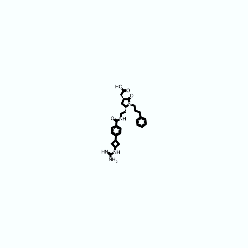 N=C(N)NC1CC(c2ccc(C(=O)NCC[C@@H]3C[C@@H](CC(=O)O)C(=O)N3CCCc3ccccc3)cc2)C1